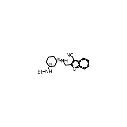 CCN[C@H]1CCC[C@@H](NCc2oc3ccccc3c2C#N)C1